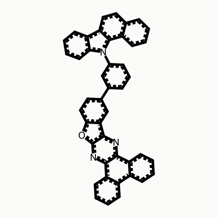 c1cc(-c2ccc3oc4nc5c6ccccc6c6ccccc6c5nc4c3c2)cc(-n2c3ccccc3c3ccc4ccccc4c32)c1